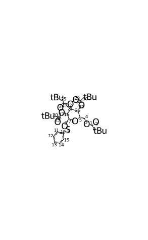 CC(C)(C)C(=O)OC[C@H]1O[C@@H](OSc2ccccc2)[C@H](OC(=O)C(C)(C)C)[C@@H](OC(=O)C(C)(C)C)[C@@H]1OC(=O)C(C)(C)C